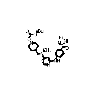 CCNS(=O)(=O)c1ccc(Nc2cc(N(C)CC3CCN(OC(=O)OC(C)(C)C)CC3)ncn2)cc1